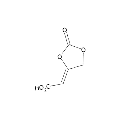 O=C(O)C=C1COC(=O)O1